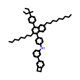 CCCCCCCCCc1ccc2c(-c3ccc(Nc4cccc(-c5ccc6c(c5)CC6)c4)cc3)c(CCCCCCCC)cc(-c3ccc(C(C)(CC)CC)cc3)c2c1